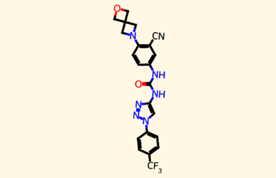 N#Cc1cc(NC(=O)Nc2cn(-c3ccc(C(F)(F)F)cc3)nn2)ccc1N1CC2(COC2)C1